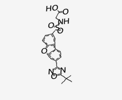 CC(C)(C)c1nc(-c2ccc3c(c2)oc2ccc(S(=O)(=O)NCC(=O)O)cc23)no1